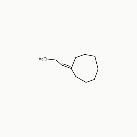 CC(=O)OCC=C1CCCCCCC1